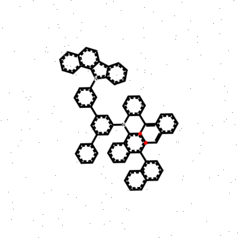 C1=c2ccccc2=C(c2ccccc2N(c2cc(-c3ccccc3)cc(-c3cccc(-n4c5ccccc5c5ccc6ccccc6c54)c3)c2)c2ccc(-c3cccc4ccccc34)c3ccccc23)CC1